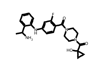 CC(N)c1ccccc1Nc1ccc(C(=O)N2CCN(C(=O)C3(O)CC3)CC2)c(F)c1